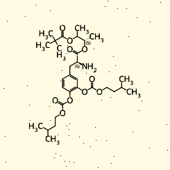 CC(C)CCOC(=O)Oc1ccc(C[C@H](N)C(=O)O[C@@H](C)C(C)OC(=O)C(C)(C)C)cc1OC(=O)OCCC(C)C